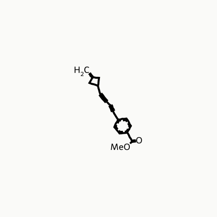 C=C1CC(C#CC#Cc2ccc(C(=O)OC)cc2)C1